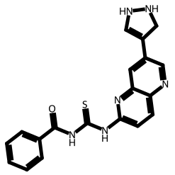 O=C(NC(=S)Nc1ccc2ncc(C3=CNNC3)cc2n1)c1ccccc1